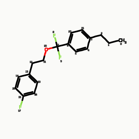 CCCc1ccc(C(F)(F)OCCc2ccc(F)cc2)cc1